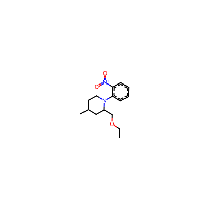 CCOCC1CC(C)CCN1c1ccccc1[N+](=O)[O-]